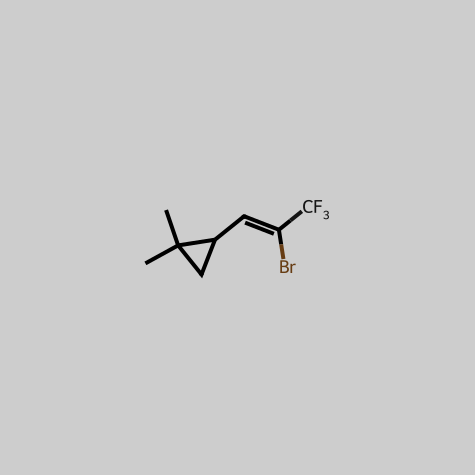 CC1(C)CC1C=C(Br)C(F)(F)F